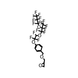 FC(OC(F)(F)C(F)(OC(F)(F)C(F)(F)C(F)(F)I)C(F)(F)F)C(F)(F)Oc1ccc(COCC2CO2)cc1